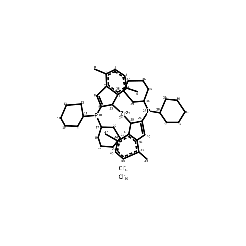 Cc1ccc(C)c2c1C=C(P(C1CCCCC1)C1CCCCC1)[CH]2[Zr+2][CH]1C(P(C2CCCCC2)C2CCCCC2)=Cc2c(C)ccc(C)c21.[Cl-].[Cl-]